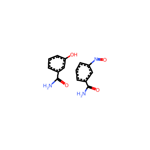 NC(=O)c1cccc(N=O)c1.NC(=O)c1cccc(O)c1